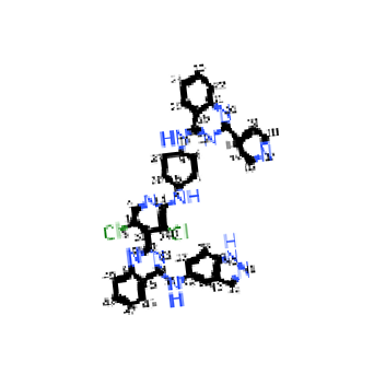 Clc1cnc(NC2CCC(Nc3nc(-c4ccncc4)nc4ccccc34)CC2)c(Cl)c1-c1nc(Nc2ccc3[nH]ncc3c2)c2ccccc2n1